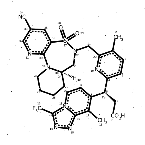 Cc1ccc([C@@H](CC(=O)O)c2ccn3c(C(F)(F)F)nnc3c2C)nc1CN1C[C@H]2CCCCN2c2ncc(C#N)cc2S1(=O)=O